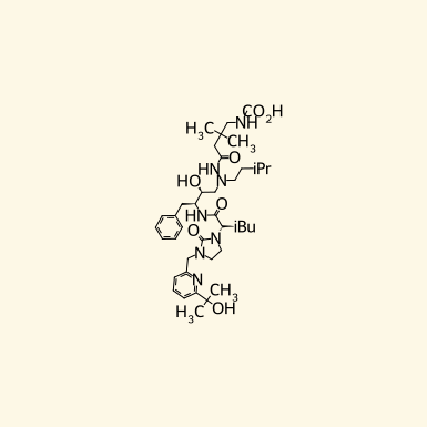 CC[C@H](C)[C@@H](C(=O)N[C@@H](Cc1ccccc1)[C@@H](O)CN(CCC(C)C)NC(=O)CC(C)(C)CNC(=O)O)N1CCN(Cc2cccc(C(C)(C)O)n2)C1=O